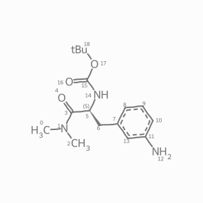 CN(C)C(=O)[C@H](Cc1cccc(N)c1)NC(=O)OC(C)(C)C